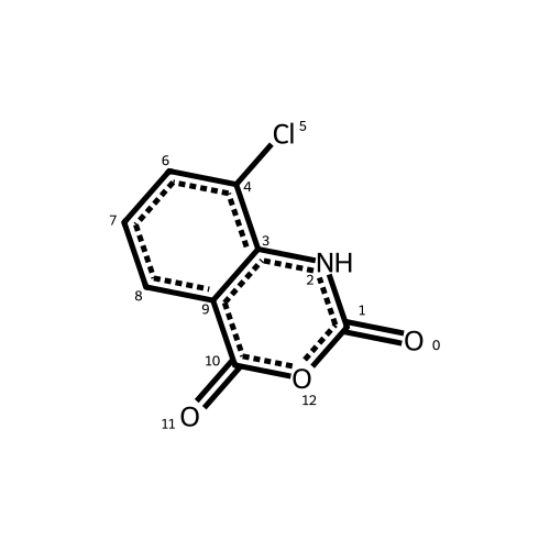 O=c1[nH]c2c(Cl)cccc2c(=O)o1